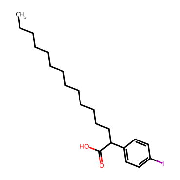 CCCCCCCCCCCCCC(C(=O)O)c1ccc(I)cc1